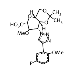 COc1ccc(F)cc1-c1cn([C@H]2[C@H]3OC(C)(C)OC[C@H]3O[C@@H](C(=O)O)[C@@H]2OC)nn1